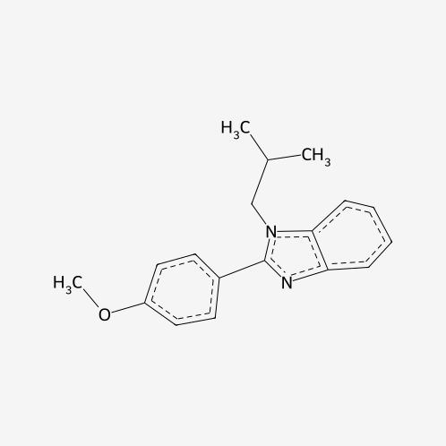 COc1ccc(-c2nc3ccccc3n2CC(C)C)cc1